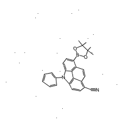 CC1(C)OB(c2ccc3c4c2ccc2c(C#N)ccc(c24)n3-c2ccccc2)OC1(C)C